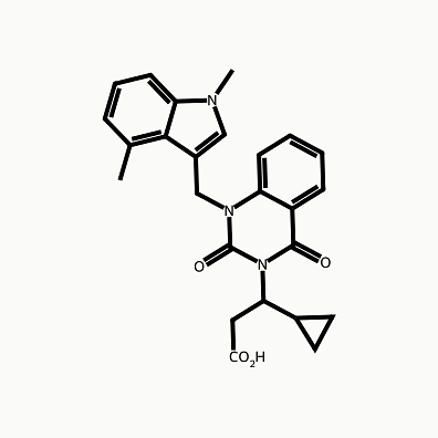 Cc1cccc2c1c(Cn1c(=O)n(C(CC(=O)O)C3CC3)c(=O)c3ccccc31)cn2C